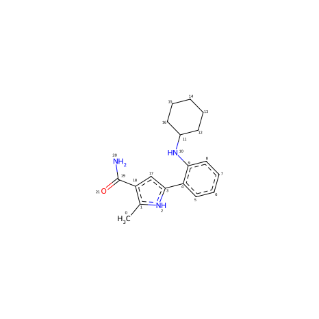 Cc1[nH]c(-c2ccccc2NC2CCCCC2)cc1C(N)=O